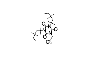 CCC(C)(C)CC(C)(C)n1c(=O)n(CC2CO2)c(=O)n(C(C)(C)CC(C)(C)CC)c1=O